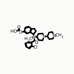 CN1CCC(N2CCC([N+](C)(C(=O)c3ccccc3Cl)[C@@H]3CCc4ccc(OC(=O)O)cc43)CC2)CC1